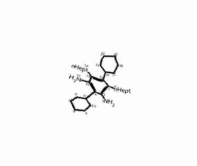 CCCCCCCc1c(N)c(C2CCCCC2)c(N)c(CCCCCCC)c1C1CCCCC1